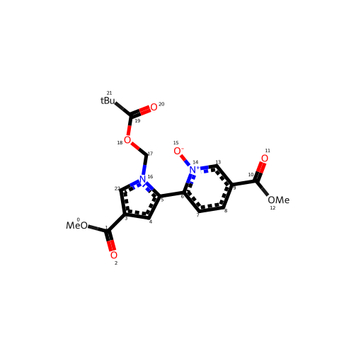 COC(=O)c1cc(-c2ccc(C(=O)OC)c[n+]2[O-])n(COC(=O)C(C)(C)C)c1